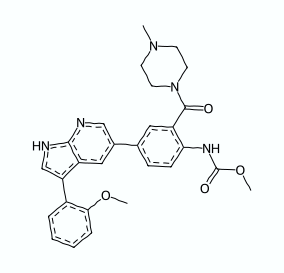 COC(=O)Nc1ccc(-c2cnc3[nH]cc(-c4ccccc4OC)c3c2)cc1C(=O)N1CCN(C)CC1